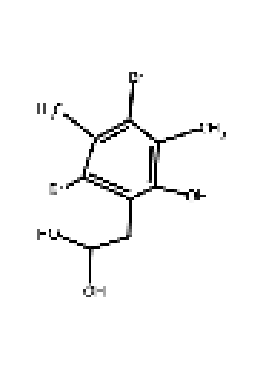 Cc1c(O)c(CC(O)O)c(Br)c(C)c1Br